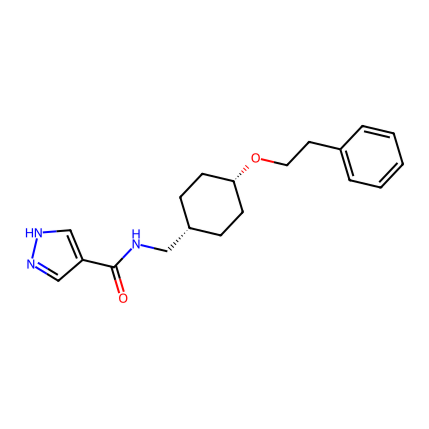 O=C(NC[C@H]1CC[C@@H](OCCc2ccccc2)CC1)c1cn[nH]c1